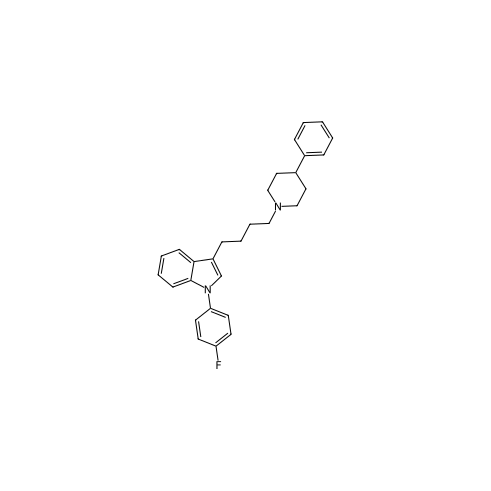 Fc1ccc(-n2cc(CCCCN3CCC(c4ccccc4)CC3)c3ccccc32)cc1